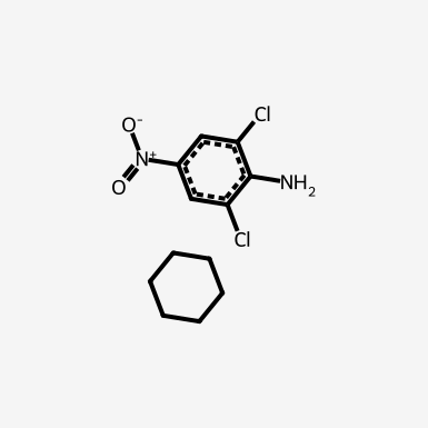 C1CCCCC1.Nc1c(Cl)cc([N+](=O)[O-])cc1Cl